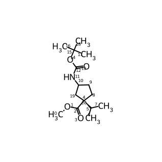 COC(=O)[C@@]1(C(C)C)CCC(NC(=O)OC(C)(C)C)C1